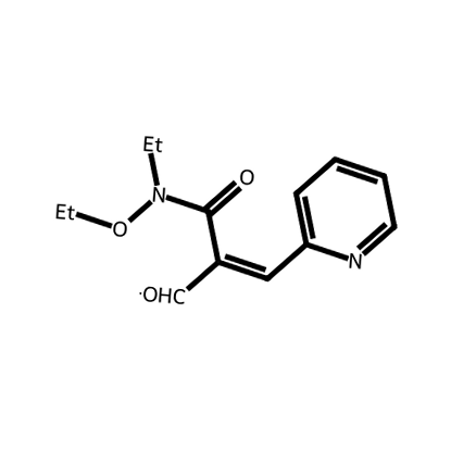 CCON(CC)C(=O)C([C]=O)=Cc1ccccn1